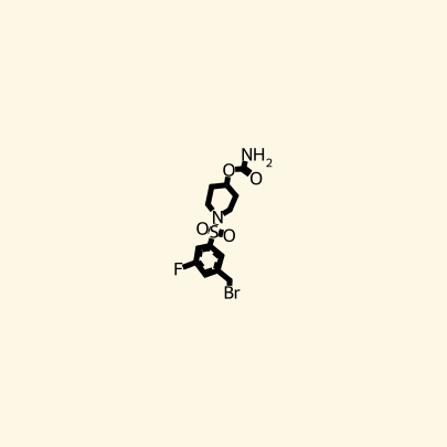 NC(=O)OC1CCN(S(=O)(=O)c2cc(F)cc(CBr)c2)CC1